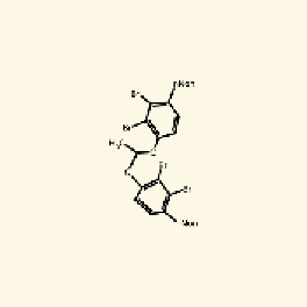 CCCCCCCCCc1ccc(OC(C)Oc2ccc(CCCCCCCCC)c(Br)c2Br)c(Br)c1Br